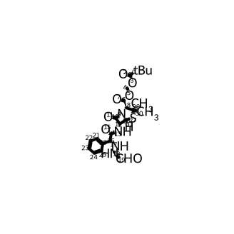 CC(C)(C)C(=O)OCOC(=O)[C@@H]1N2C(=O)[C@H](NC(=O)[C@H](NNC=O)c3ccccc3)[C@H]2SC1(C)C